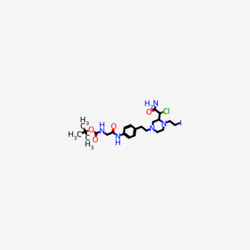 CC(C)(C)OC(=O)NCC(=O)Nc1ccc(CCN2CCN(CCI)C(C(Cl)C(N)=O)C2)cc1